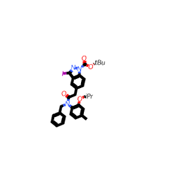 Cc1ccc(N(Cc2ccccc2)C(=O)Cc2ccc3c(c2)c(I)nn3C(=O)OC(C)(C)C)c(OC(C)C)c1